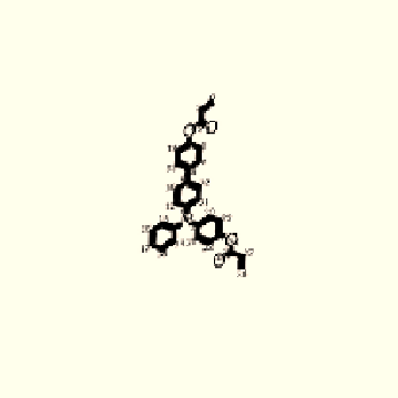 C=CC(=O)Oc1ccc(-c2ccc(N(c3ccccc3)c3ccc(OC(=O)C=C)cc3)cc2)cc1